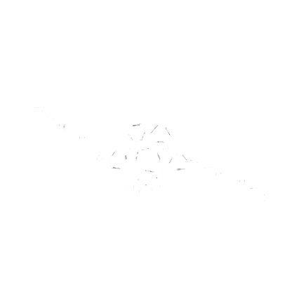 COCCOCCOCCOc1ccc2c3c(oc2c1)C(c1ccccc1)(c1ccccc1)c1oc2cc(OCCOCCOCCOC)ccc2c1C1=C3C(F)(F)C(F)(F)C1(F)F